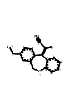 CC(C#N)=C1c2ccc(CCl)cc2COc2ccccc21